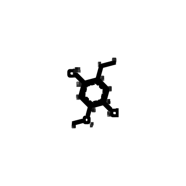 CCc1cc(Cl)c(OC)cc1Cl